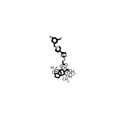 C=C[C@]1(C)C[C@@H](OC(=O)CSc2nc(-c3cc[n+](Cc4cc(F)cc(F)c4)cc3)cs2)[C@]2(C)[C@H](C)CC[C@]3(CCC(=O)[C@H]32)[C@@H](C)[C@@H]1O